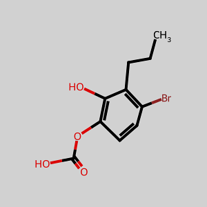 CCCc1c(Br)ccc(OC(=O)O)c1O